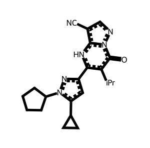 CC(C)c1c(-c2cc(C3CC3)n(C3CCCC3)n2)[nH]c2c(C#N)cnn2c1=O